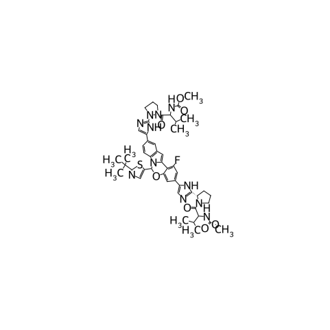 COC(=O)NC(C(=O)N1CCC[C@H]1c1ncc(-c2cc(F)c3c(c2)OC(c2cnc(C(C)(C)C)s2)n2c-3cc3cc(-c4cnc(N5CCCN5C(=O)C(NC(=O)OC)C(C)C)[nH]4)ccc32)[nH]1)C(C)C